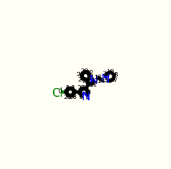 Clc1ccc(-c2cncc(-c3cn(CCN4CCCCC4)c4ccccc34)c2)cc1